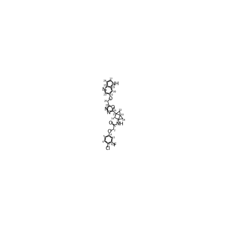 O=C(COc1ccc(Cl)c(F)c1)NC12CC3(c4nnc(COc5cnc6cc[nH]c6c5)o4)CC13C2